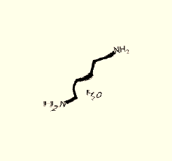 NCCCCN.O